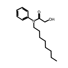 CCCCCCCCN(C(=O)CO)c1ccccc1